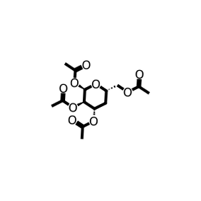 CC(=O)OC[C@@H]1C[C@H](OC(C)=O)[C@@H](OC(C)=O)[C@@H](OC(C)=O)O1